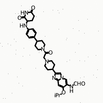 CC(C)Oc1cc2nc(C3CCN(CC(=O)N4CCC(c5ccc(NC6CCC(=O)NC6=O)cc5)CC4)CC3)cn2cc1NC=O